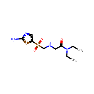 CCN(CC)C(=O)CNCS(=O)(=O)c1cnc(N)s1